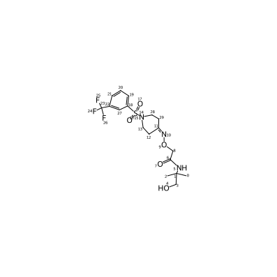 CC(C)(CO)NC(=O)CON=C1CCN(S(=O)(=O)c2cccc(C(F)(F)F)c2)CC1